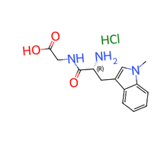 Cl.Cn1cc(C[C@@H](N)C(=O)NCC(=O)O)c2ccccc21